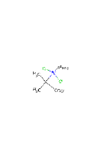 CCCCC[N+](Cl)(Cl)C(C)(C)C(=O)[O-]